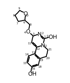 OC1=NC(OCC2CCCO2)C=C2c3ccc(O)cc3CCN21